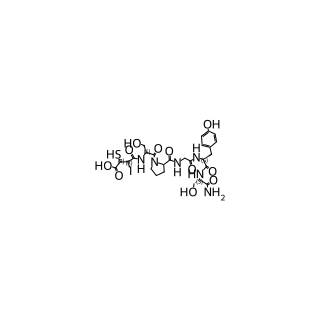 NC(=O)[C@H](CO)NC(=O)[C@H](Cc1ccc(O)cc1)NC(=O)CNC(=O)C1CCCN1C(=O)[C@H](CO)NC(=O)[C@@H](I)[C@H](S)C(=O)O